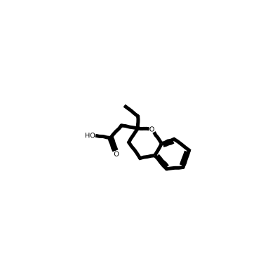 CCC1(CC(=O)O)CCc2ccccc2O1